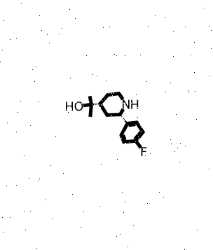 CC(C)(O)[C@@H]1CCN[C@H](c2ccc(F)cc2)C1